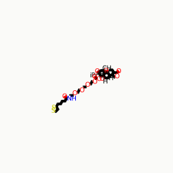 CC(C)[C@]12O[C@H]1[C@H](C)[C@@]13O[C@@]14CCC1=C(COC1=O)[C@@H]4C[C@@H]1O[C@@]13[C@@H]2OC(=O)OCCOCCOCCOCCNC(=O)CCCCC1CCSS1